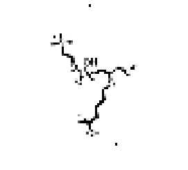 COC[C@H](COP(=O)(O)OCC[N+](C)(C)C)OCCCCC(=O)O